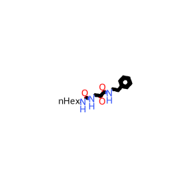 CCCCCCNC(=O)NCC(=O)C(=O)NCCc1ccccc1